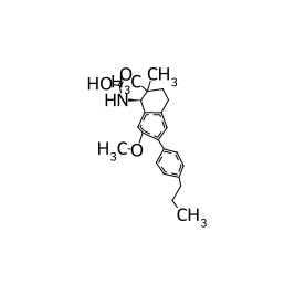 CCCc1ccc(-c2cc3c(cc2OC)[C@@H](NC(=O)O)C(C)(C)CC3)cc1